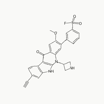 C#Cc1ccc2c(c1)[nH]c1c2c(=O)c2cc(OC)c(-c3cccc(S(=O)(=O)F)c3)cc2n1C1CNC1